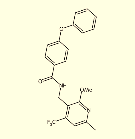 COc1nc(C)cc(C(F)(F)F)c1CNC(=O)c1ccc(Oc2ccccc2)cc1